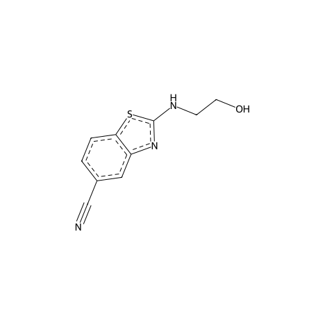 N#Cc1ccc2sc(NCCO)nc2c1